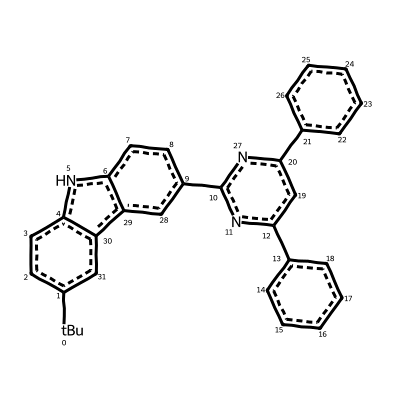 CC(C)(C)c1ccc2[nH]c3ccc(-c4nc(-c5ccccc5)cc(-c5ccccc5)n4)cc3c2c1